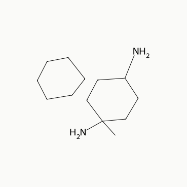 C1CCCCC1.CC1(N)CCC(N)CC1